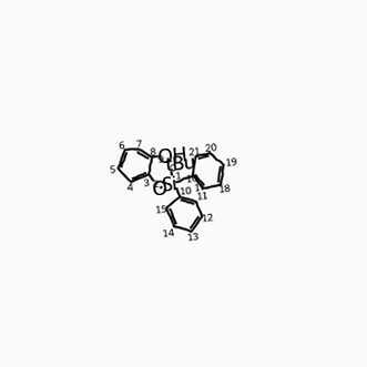 CC(C)(C)[Si](Oc1ccccc1O)(c1ccccc1)c1ccccc1